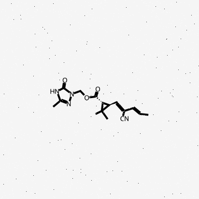 C/C=C/C(C#N)=C/[C@@H]1[C@@H](C(=O)OCn2nc(C)[nH]c2=O)C1(C)C